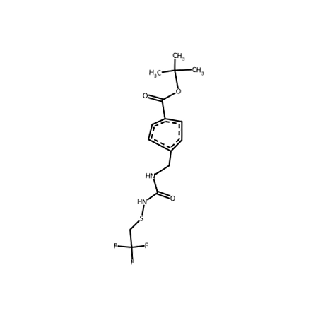 CC(C)(C)OC(=O)c1ccc(CNC(=O)NSCC(F)(F)F)cc1